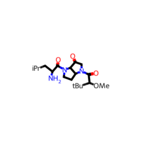 COC(C(=O)N1CC(=O)C2C1CCN2C(=O)C(N)CC(C)C)C(C)(C)C